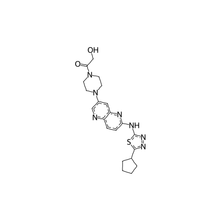 O=C(CO)N1CCN(c2cnc3ccc(Nc4nnc(C5CCCC5)s4)nc3c2)CC1